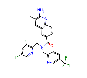 Cc1cc2cc(C(=O)N(Cc3ccc(C(F)(F)F)cn3)Cc3ncc(F)cc3F)ccc2nc1N